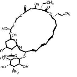 CCC[C@@H]1C/C=C/C=C/C=C/C=C/[C@H](O[C@@H]2O[C@H](C)[C@@H](O)[C@H](N)[C@@H]2O)C[C@@H]2O[C@](O)(C[C@@H](O)CCCC(=O)C[C@@H](O)[C@H](CC)C(=O)O1)C[C@H](O)[C@H]2C(=O)O